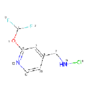 FC(F)Oc1cc(CNCl)ccn1